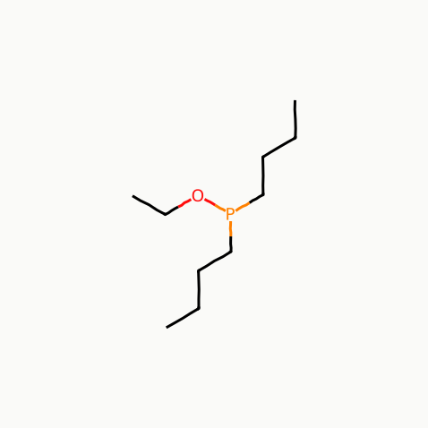 CCCCP(CCCC)OCC